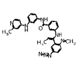 C=Nc1ccc(N=[N+]=[N-])cc1/C(=C\C)Nc1cccc(C(=O)Nc2cccc(Nc3ccnc(C)c3)c2)c1